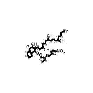 CC(=CCC1=C(C)C(=O)c2ccccc2C1=O)CCCC(C)CCCC(C)CCCC(C)C.O=C1OCCN1/N=C/c1ccc([N+](=O)[O-])o1